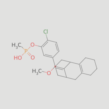 CO/C(=C1\C2CCCC1C1=C(CCCC1)C2)c1ccc(Cl)c(OP(C)(=O)O)c1